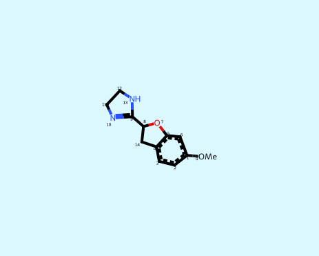 COc1ccc2c(c1)OC(C1=NCCN1)C2